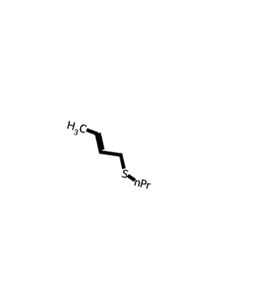 [CH2]CCSCC=CC